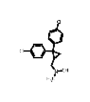 CN(C)CC1CC1(c1ccc(Cl)cc1)c1ccc(Cl)cc1